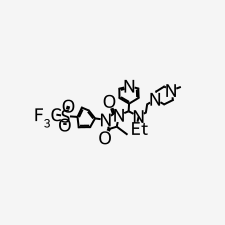 CCN(CCN1CCN(C)CC1)C(c1ccncc1)N1C(=O)N(c2ccc(S(=O)(=O)C(F)(F)F)cc2)C(=O)C1C